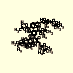 C=C(C)OC(=O)N[C@@H]1CC=C(CNCCC2(O)CN(C(=O)OC(C)(C)C)C2)OC1[C@H]1[C@H](O)[C@@H](O[C@H]2OC[C@](C)(O)[C@H](N(C)C(=O)OC(C)(C)C)[C@H]2O)[C@H](NC(=O)[C@@H](O)CNC(=O)OC(C)(C)C)C[C@@H]1NC(=O)OC(C)(C)C